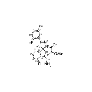 CO[C@@H](C)C(=O)N1N=C(c2cc(F)ccc2F)SC1(CCCN)c1cccc(Cl)c1